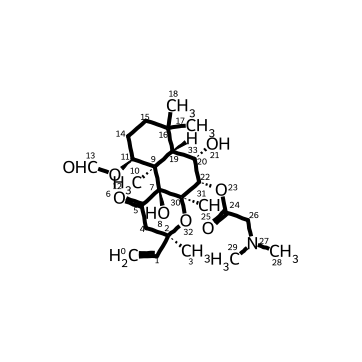 C=C[C@@]1(C)CC(=O)[C@]2(O)[C@@]3(C)[C@@H](OC=O)CCC(C)(C)[C@@H]3[C@H](O)[C@H](OC(=O)CN(C)C)[C@@]2(C)O1